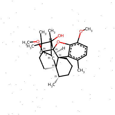 COc1ccc(C)c2c1O[C@H]1[C@@]3(OC)CC[C@@]4(C[C@@H]3C(C)(O)C(C)(C)C)[C@@H](C)CCC[C@]214